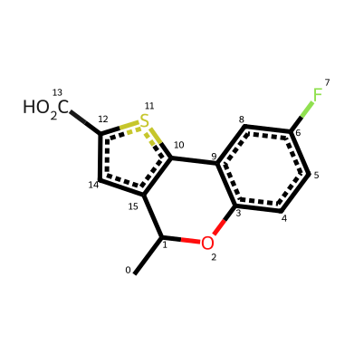 CC1Oc2ccc(F)cc2-c2sc(C(=O)O)cc21